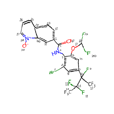 O=C(Nc1c(Br)cc(C(F)(C(F)(F)F)C(F)(F)C(F)(F)F)cc1OC(F)F)c1ccc2ccc[n+]([O-])c2c1